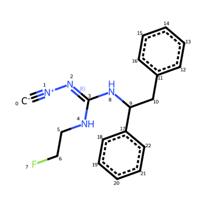 [C-]#[N+]/N=C(\NCCF)NC(Cc1ccccc1)c1ccccc1